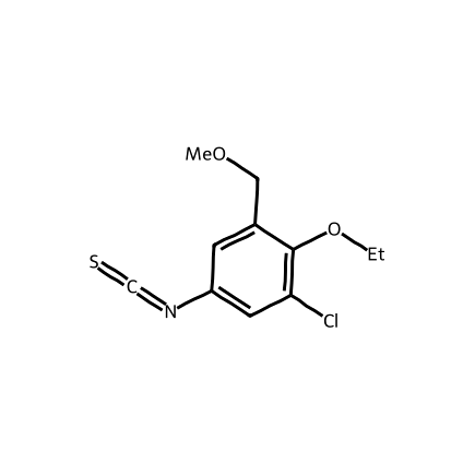 CCOc1c(Cl)cc(N=C=S)cc1COC